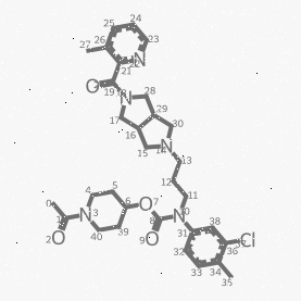 CC(=O)N1CCC(OC(=O)N(CCCN2CC3CN(C(=O)c4ncccc4C)CC3C2)c2ccc(C)c(Cl)c2)CC1